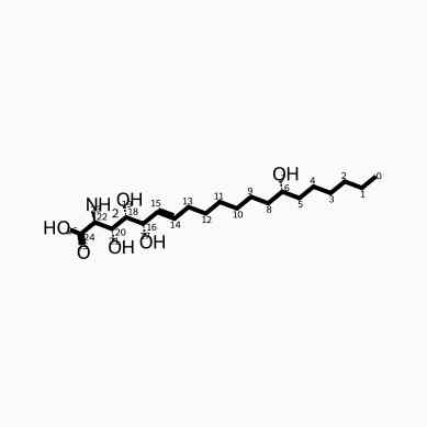 CCCCCC[C@@H](O)CCCCCC/C=C/[C@H](O)[C@@H](O)[C@H](O)[C@H](N)C(=O)O